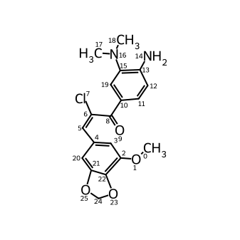 COc1cc(/C=C(/Cl)C(=O)c2ccc(N)c(N(C)C)c2)cc2c1OCO2